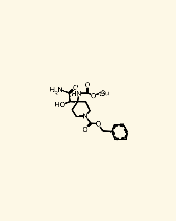 CC(C)(C)OC(=O)NC1(C(O)C(N)=O)CCN(C(=O)OCc2ccccc2)CC1